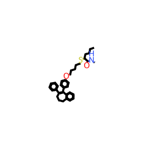 CCCCC(SCCCCCOc1ccc(C2=C(c3ccccc3)CCCc3ccccc32)cc1)C(=O)NC